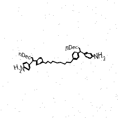 CCCCCCCCCCCC(c1ccc(N)cc1)c1ccc(CCCCCCCCCc2ccc(C(CCCCCCCCCCC)c3ccc(N)cc3)cc2)cc1